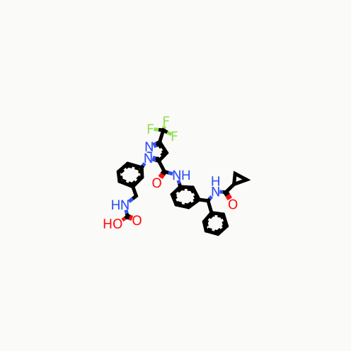 O=C(O)NCc1cccc(-n2nc(C(F)(F)F)cc2C(=O)Nc2cccc(C(NC(=O)C3CC3)c3ccccc3)c2)c1